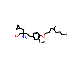 COc1cc(CCC(N)(CO)CC2CC2)ccc1OCCCC(C)CCCC(C)C